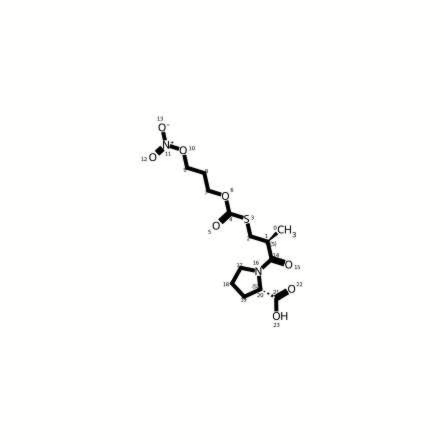 C[C@H](CSC(=O)OCCCO[N+](=O)[O-])C(=O)N1CCC[C@H]1C(=O)O